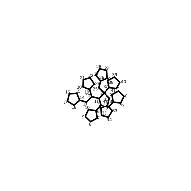 C1CCC(CC(C2CCCC2)C(C(CC2CCCC2)C2CCCC2)C(CC2CCCC2)(CC2CCCC2)C2CCCC2)C1